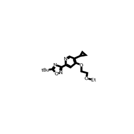 CCOCCOc1cc(-c2noc(C(C)(C)C)n2)ncc1C1CC1